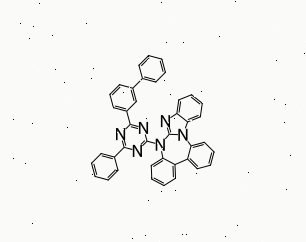 c1ccc(-c2cccc(-c3nc(-c4ccccc4)nc(N4c5ccccc5-c5ccccc5-n5c4nc4ccccc45)n3)c2)cc1